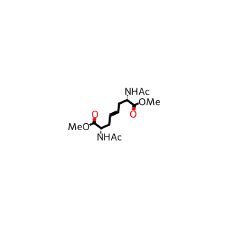 COC(=O)[C@H](C/C=C/C[C@H](NC(C)=O)C(=O)OC)NC(C)=O